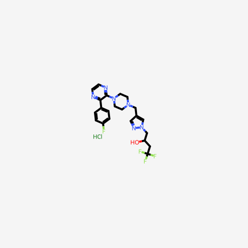 Cl.OC(Cn1cc(CN2CCN(c3nccnc3-c3ccc(F)cc3)CC2)cn1)CC(F)(F)F